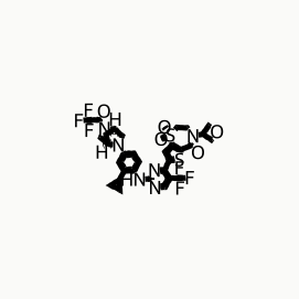 O=C1c2sc(-c3nc(Nc4ccc(N5C[C@@H]6C[C@H]5CN6C(=O)C(F)(F)F)cc4C4CC4)ncc3C(F)(F)F)cc2S(=O)(=O)CCN1C1COC1